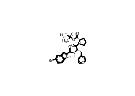 CC(C)(C)OC(=O)[C@@H]1CCCN1C(=O)[C@H](Cc1ccccc1)NC(=O)c1cc2cc(Br)ccc2[nH]1